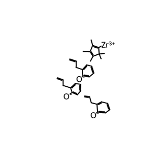 C=CCc1ccccc1[O-].C=CCc1ccccc1[O-].C=CCc1ccccc1[O-].CC1=C(C)C(C)(C)[C]([Zr+3])=C1C